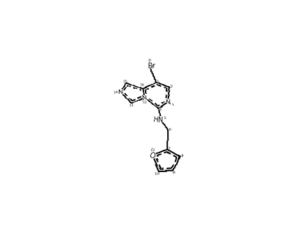 Brc1cnc(NCc2ccco2)n2cncc12